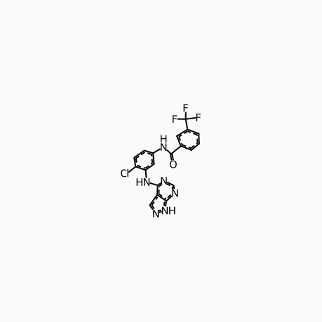 O=C(Nc1ccc(Cl)c(Nc2ncnc3[nH]ncc23)c1)c1cccc(C(F)(F)F)c1